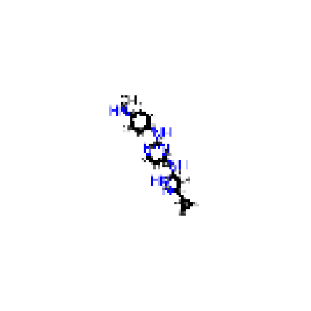 CNc1ccc(Nc2nccc(Nc3cc(C4CC4)n[nH]3)n2)cc1